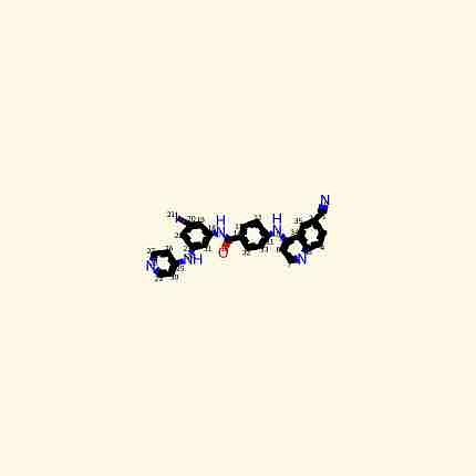 N#Cc1ccc2nccc(Nc3ccc(C(=O)Nc4cc(I)cc(Nc5ccncc5)c4)cc3)c2c1